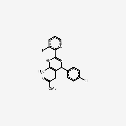 COC(=O)CC1=C(C)NC(c2ncccc2F)=NC1c1ccc(Cl)cc1